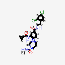 CCNC(=O)N1CCCN(c2ccc(C(=O)NCCc3ccc(Cl)cc3Cl)cc2NC(=O)C2CC2)CC1